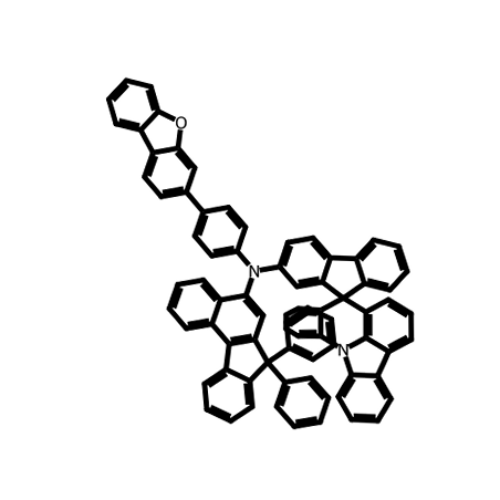 c1ccc(C2(c3ccccc3)c3ccccc3-c3c2cc(N(c2ccc(-c4ccc5c(c4)oc4ccccc45)cc2)c2ccc4c(c2)C2(c5ccccc5-4)c4ccccc4-n4c5ccccc5c5cccc2c54)c2ccccc32)cc1